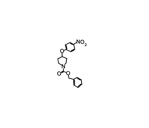 O=C(OCc1ccccc1)N1CCC(Oc2ccc([N+](=O)[O-])cc2)CC1